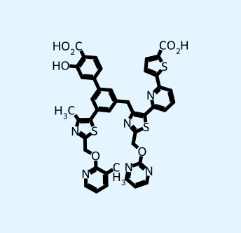 Cc1cccnc1OCc1nc(C)c(-c2cc(Cc3nc(COc4ncccn4)sc3-c3cccc(-c4ccc(C(=O)O)s4)n3)cc(-c3ccc(C(=O)O)c(O)c3)c2)s1